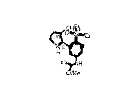 CCS(=O)(=O)c1ccc(NC(=O)OC)cc1[C@H]1NCC[C@H]1C=O